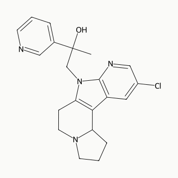 CC(O)(Cn1c2c(c3cc(Cl)cnc31)C1CCCN1CC2)c1cccnc1